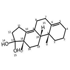 C[C@]12CCCC=C1CCC1=C3CCC(O)(O)[C@@]3(C)CC[C@H]12